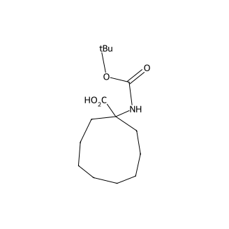 CC(C)(C)OC(=O)NC1(C(=O)O)CCCCCCCC1